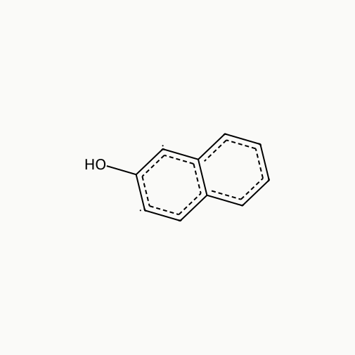 Oc1[c]cc2ccccc2[c]1